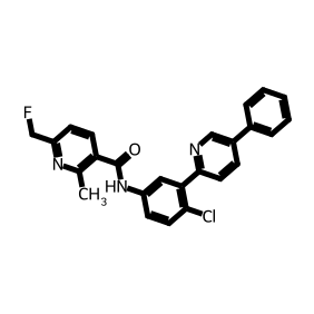 Cc1nc(CF)ccc1C(=O)Nc1ccc(Cl)c(-c2ccc(-c3ccccc3)cn2)c1